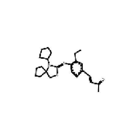 CCc1cc(C=CC(C)=O)ccc1N=C1SCC2(CCCC2)N1C1CCCC1